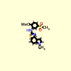 COc1ccc(S(C)(=O)=O)cc1Nc1nc2c(ccc3c2ccn3C)s1